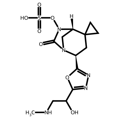 CNCC(O)c1nnc([C@@H]2CC3(CC3)[C@@H]3CN2C(=O)N3OS(=O)(=O)O)o1